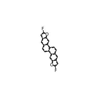 Fc1cc2cc3ccc4c5cc6oc(F)cc6cc5ccc4c3cc2o1